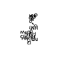 COc1cc(C(=O)NC[C@H]2CCCC[C@@H]2C#Cc2cccc3c2CN(C2CCC(=O)NC2=O)C3=O)ccc1NC(=O)[C@@H]1N[C@@H](CC(C)(C)C)[C@@]2(CNc3cc(Cl)ccc32)[C@H]1c1cccc(Cl)c1F